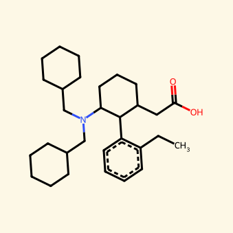 CCc1ccccc1C1C(CC(=O)O)CCCC1N(CC1CCCCC1)CC1CCCCC1